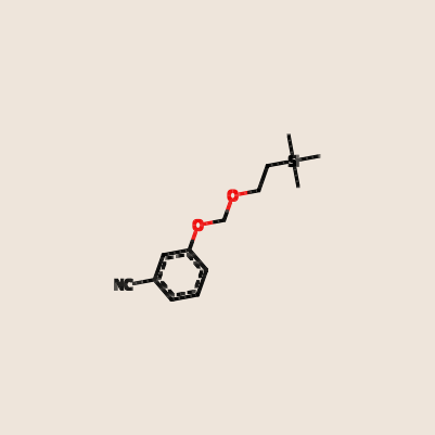 C[Si](C)(C)CCOCOc1cccc(C#N)c1